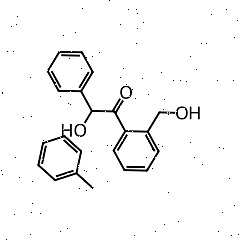 Cc1ccccc1.O=C(c1ccccc1CO)C(O)c1ccccc1